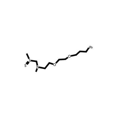 CC(C)CCCOCCOCCN(C)CS(C)=S